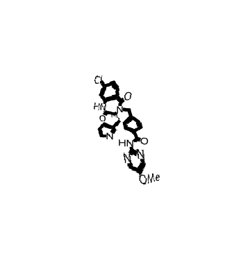 COc1cnc(NC(=O)c2ccc(CN3C(=O)c4ccc(Cl)cc4NC(=O)[C@H]3Cc3cccnc3)cc2)nc1